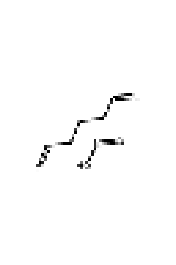 O=CCCCC=O.O=NO